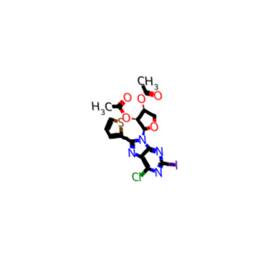 CC(=O)O[C@H]1[C@H](n2c(-c3cccs3)nc3c(Cl)nc(I)nc32)OC[C@H]1OC(C)=O